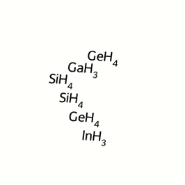 [GaH3].[GeH4].[GeH4].[InH3].[SiH4].[SiH4]